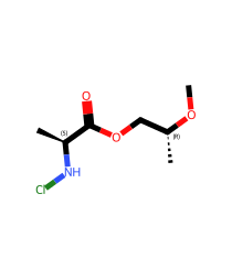 CO[C@H](C)COC(=O)[C@H](C)NCl